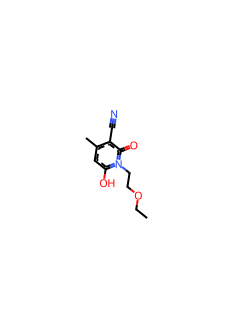 CCOCCn1c(O)cc(C)c(C#N)c1=O